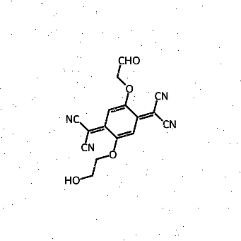 N#CC(C#N)=c1cc(OCCO)c(=C(C#N)C#N)cc1OCC=O